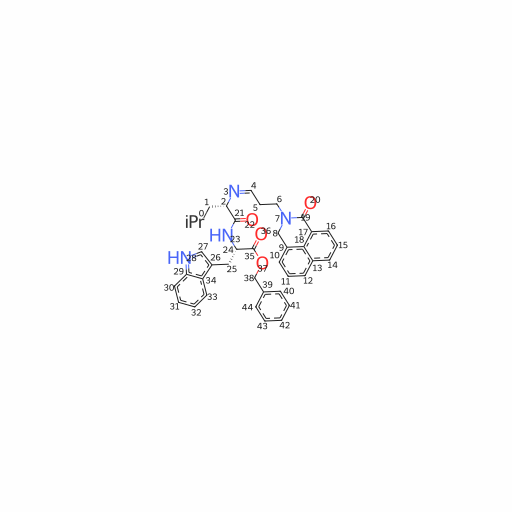 CC(C)C[C@H](/N=C\CCN1Cc2cccc3cccc(c23)C1=O)C(=O)N[C@@H](Cc1c[nH]c2ccccc12)C(=O)OCc1ccccc1